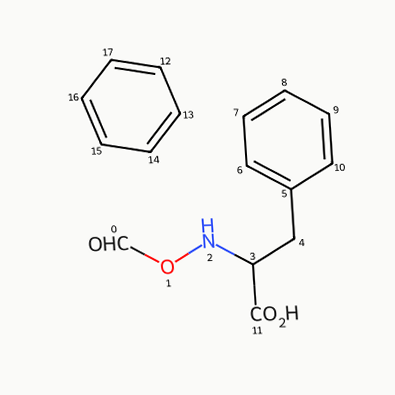 O=CONC(Cc1ccccc1)C(=O)O.c1ccccc1